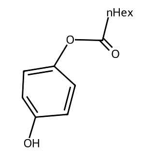 CCCCCCC(=O)Oc1ccc(O)cc1